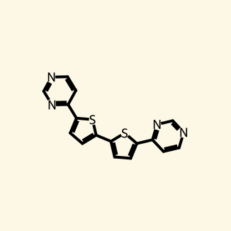 c1cc(-c2ccc(-c3ccc(-c4ccncn4)s3)s2)ncn1